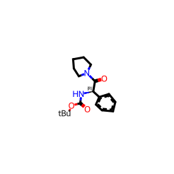 CC(C)(C)OC(=O)N[C@@H](C(=O)N1CCCCC1)c1ccccc1